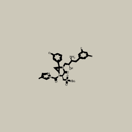 CCCCS(=O)(=O)C[C@@H](NC(=O)n1cc(C)cn1)C(=O)N(C[C@@H](O)[C@@H](N)Cc1cc(F)cc(F)c1)C1(c2cccc(CC)c2)CC1